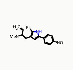 C=CC(Cc1cc(-c2ccc(N=O)cc2)[nH]c1CC)NC